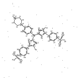 Cc1nc(N(c2ccc(N3CCN(C)CC3)nc2)c2nc(C)c(-c3ccc(S(C)(=O)=O)cc3)s2)sc1-c1ccc(S(C)(=O)=O)cc1